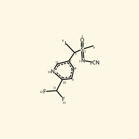 CS(=O)(=NC#N)C(I)c1ccc(C(F)F)nc1